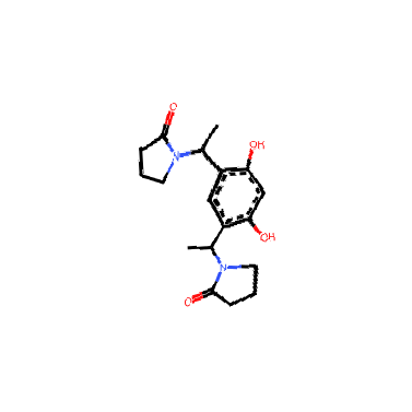 CC(c1cc(C(C)N2CCCC2=O)c(O)cc1O)N1CCCC1=O